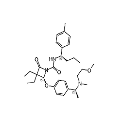 CCC[C@@H](NC(=O)N1C(=O)C(CC)(CC)[C@@H]1Oc1ccc([C@H](C)N(C)CCOC)cc1)c1ccc(C)cc1